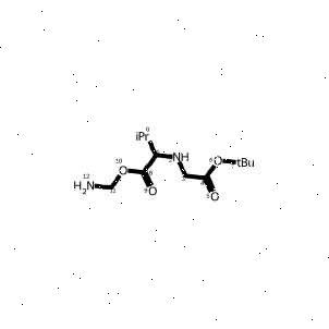 CC(C)C(NCC(=O)OC(C)(C)C)C(=O)OCN